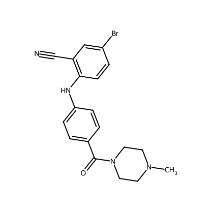 CN1CCN(C(=O)c2ccc(Nc3ccc(Br)cc3C#N)cc2)CC1